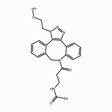 CCCOCCn1nnc2c1-c1ccccc1CN(C(=O)CCNC(=O)S)c1ccccc1-2